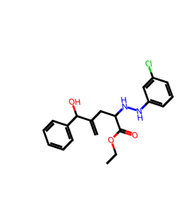 C=C(CC(NNc1cccc(Cl)c1)C(=O)OCC)C(O)c1ccccc1